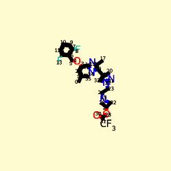 Cc1cc(OCc2c(F)cccc2F)c2nc(C)c(-c3cnn(CCN4CC(OC(=O)C(F)(F)F)C4)c3)n2c1